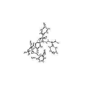 CC[C@H](CC[C@@H](c1ccc(C(OCc2c(F)cccc2F)(C(F)(F)F)C(F)(F)F)cc1)S(=O)(=O)c1ccc(F)cc1)N1CCOCC1